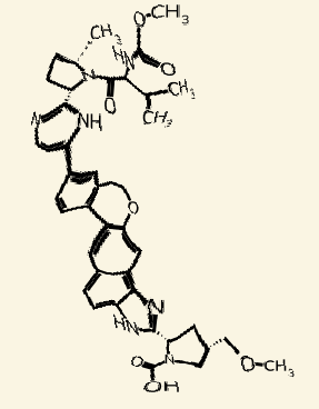 COC[C@H]1C[C@@H](c2nc3c(ccc4cc5c(cc43)OCc3cc(-c4cnc([C@@H]6CC[C@H](C)N6C(=O)[C@@H](NC(=O)OC)C(C)C)[nH]4)ccc3-5)[nH]2)N(C(=O)O)C1